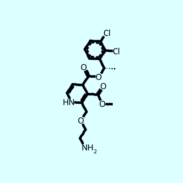 COC(=O)C1=C(COCCN)NC=CC1C(=O)O[C@@H](C)c1cccc(Cl)c1Cl